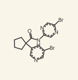 O=C(Nc1cnc(Br)cn1)C1(c2cncc(Br)c2)CCCC1